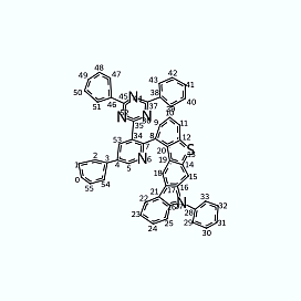 c1ccc(-c2cnc(-c3cccc4sc5cc6c(cc5c34)c3ccccc3n6-c3ccccc3)c(-c3nc(-c4ccccc4)nc(-c4ccccc4)n3)c2)cc1